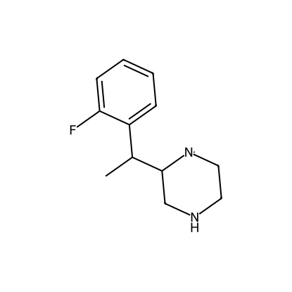 CC(c1ccccc1F)C1CNCC[N]1